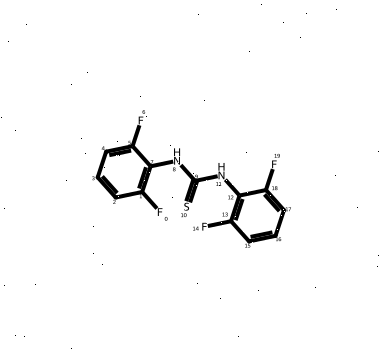 Fc1cccc(F)c1NC(=S)Nc1c(F)cccc1F